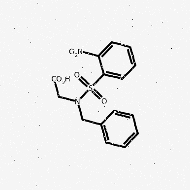 O=C(O)CN(Cc1ccccc1)S(=O)(=O)c1ccccc1[N+](=O)[O-]